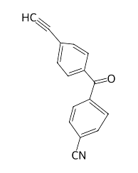 C#Cc1ccc(C(=O)c2ccc(C#N)cc2)cc1